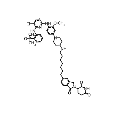 COc1cc(N2CCC(NCCCCCCCc3ccc4c(c3)CN(C3CCC(=O)NC3=O)C4=O)CC2)ccc1Nc1ncc(Cl)c(Nc2ccccc2P(C)(C)=O)n1